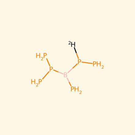 [2H]P(P)B(P)P(P)P